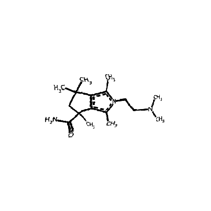 Cc1c2c(c(C)n1CCN(C)C)C(C)(C(N)=O)CC2(C)C